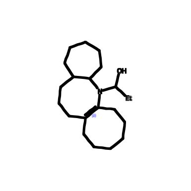 CCC(O)N1/C2=C(/CCCCCC2)CCCC2CCCCCC21